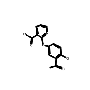 CC(=O)c1cc(Oc2ncccc2C(=O)O)ccc1Cl